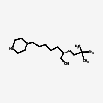 CC(C)(C)CC[C@H](CO)CCCCCN1CCNCC1